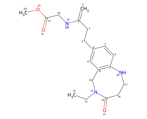 C=C(CCc1ccc2c(c1)CN(CC)C(=O)CCN2)NCC(=O)OC